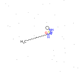 CCCCCCCCC=CCCCCCCCC(=O)Nc1nnc(NC2CCCCCC2)s1